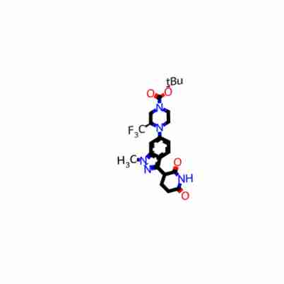 Cn1nc(C2CCC(=O)NC2=O)c2ccc(N3CCN(C(=O)OC(C)(C)C)C[C@@H]3C(F)(F)F)cc21